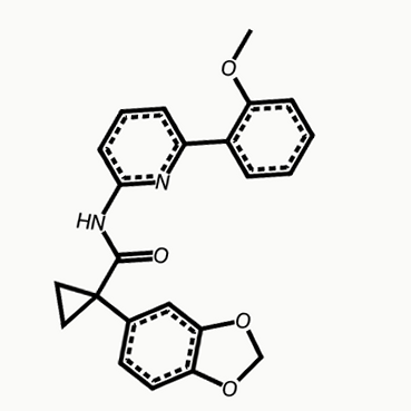 COc1ccccc1-c1cccc(NC(=O)C2(c3ccc4c(c3)OCO4)CC2)n1